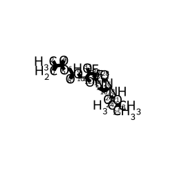 C=C(C)C(=O)OCC(=O)OC[C@H]1O[C@@H](n2ccc(NC(=O)OC(C)(C)C)nc2=O)C(F)(F)C1O